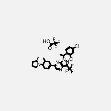 CC1CC(c2cnc3c(C(F)(F)F)nn(C(C)c4ccc(Cl)cc4Cl)c3n2)=CCC1N1CCC[C@H]1C.O=C(O)C(F)(F)F